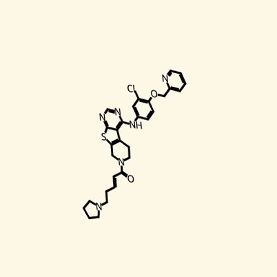 O=C(/C=C/CCN1CCCC1)N1CCc2c(sc3ncnc(Nc4ccc(OCc5ccccn5)c(Cl)c4)c23)C1